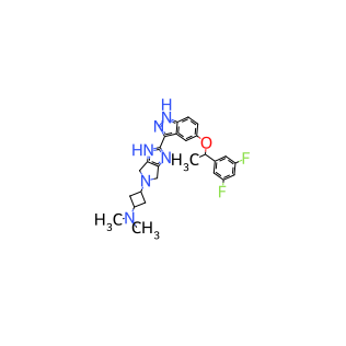 CC(Oc1ccc2[nH]nc(-c3nc4c([nH]3)CN(C3CC(N(C)C)C3)C4)c2c1)c1cc(F)cc(F)c1